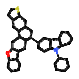 c1ccc(-n2c3ccccc3c3cc(-c4cc5cc6sccc6cc5c5cc6oc7ccccc7c6cc45)ccc32)cc1